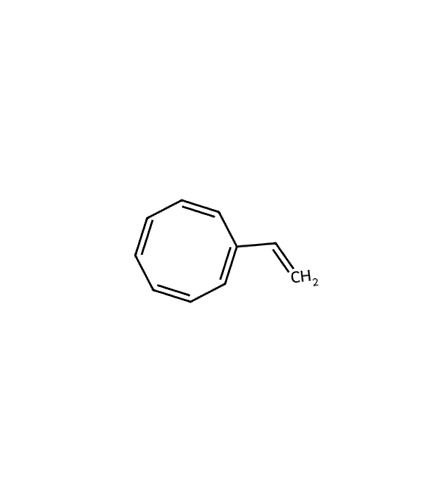 C=CC1=CC=CC=CC=C1